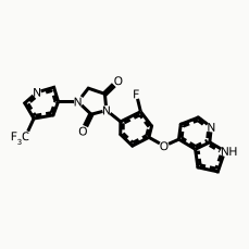 O=C1CN(c2cncc(C(F)(F)F)c2)C(=O)N1c1ccc(Oc2ccnc3[nH]ccc23)cc1F